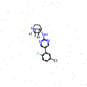 CCc1ccc(F)c(-c2cnc(N[C@H]3C4CCN(CC4)[C@@H]3C)nc2)c1